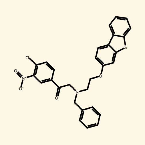 O=C(CN(CCOc1ccc2c(c1)sc1ccccc12)Cc1ccccc1)c1ccc(Cl)c([N+](=O)[O-])c1